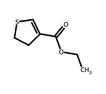 CCOC(=O)C1=CSCC1